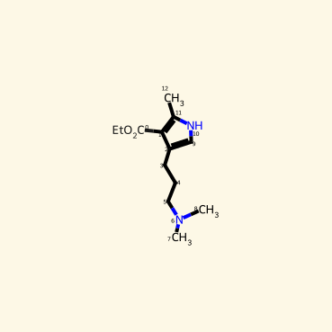 CCOC(=O)c1c(CCCN(C)C)c[nH]c1C